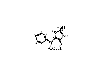 CCOC(=O)C(c1ccccc1)c1sc(S)nc1C